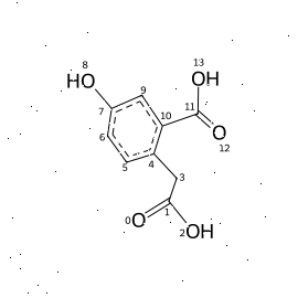 O=C(O)Cc1ccc(O)cc1C(=O)O